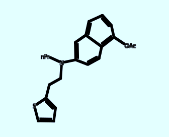 CCCN(CCc1cccs1)c1ccc2c(OC(C)=O)cccc2c1